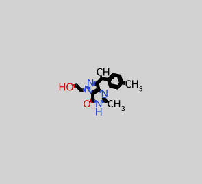 Cc1ccc([C@H](C)c2nn(CCO)c3c(=O)[nH]c(C)nc23)cc1